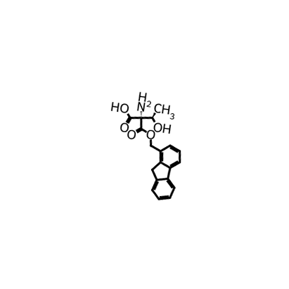 C[C@@H](O)[C@](N)(C(=O)O)C(=O)OCc1cccc2c1Cc1ccccc1-2